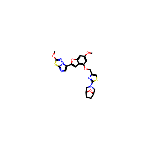 COc1cc(OCc2csc(N3CC4CCC(C3)O4)n2)c2cc(-c3cnc4sc(OC)nn34)oc2c1